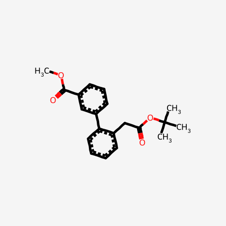 COC(=O)c1cccc(-c2ccccc2CC(=O)OC(C)(C)C)c1